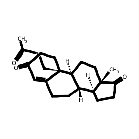 CC(=O)OC[C@]12CCC(=O)C=C1CC[C@@H]1[C@@H]2CC[C@]2(C)C(=O)CC[C@@H]12